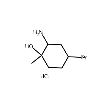 CC(C)C1CCC(C)(O)C(N)C1.Cl